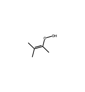 CC(C)=C(C)OO